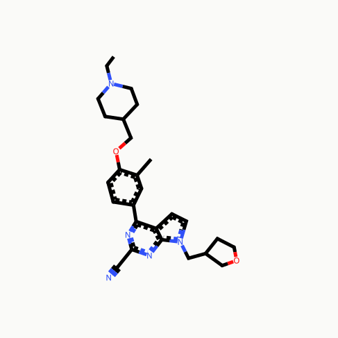 CCN1CCC(COc2ccc(-c3nc(C#N)nc4c3ccn4CC3CCOC3)cc2C)CC1